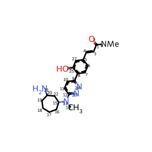 CNC(=O)/C=C/c1ccc(-c2ccc(N(C)[C@H]3CCCCC(N)C3)nn2)c(O)c1